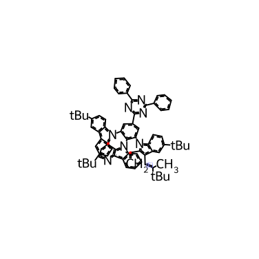 C=Cc1c(/C=C(\C)C(C)(C)C)c2cc(C(C)(C)C)ccc2n1-c1cc(-c2nc(-c3ccccc3)nc(-c3ccccc3)n2)cc(-n2c3ccc(C(C)(C)C)cc3c3cc(C(C)(C)C)ccc32)c1-n1c2ccccc2c2ncccc21